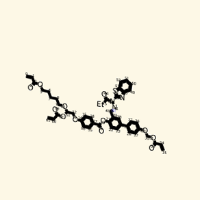 C=CC(=O)OCCCCCOC(COc1ccc(C(=O)Oc2ccc(-c3ccc(OCOC(=O)C=C)cc3)cc2/C=N/N(C(=O)CC)c2nc3ccccc3s2)cc1)OC(=O)C=C